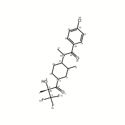 CC1CN(C(=O)[C@@](C)(O)C(F)(F)F)CCC1N(C)C(=O)c1ccc(Cl)cc1